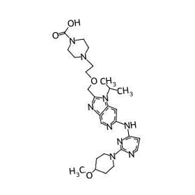 COC1CCN(c2nccc(Nc3cc4c(cn3)nc(COCCN3CCN(C(=O)O)CC3)n4C(C)C)n2)CC1